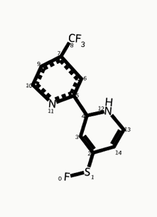 FSC1=CC(c2cc(C(F)(F)F)ccn2)NC=C1